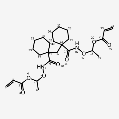 C=CC(=O)OC(C)ONC(=O)C1(CC2(C(=O)NOC(C)OC(=O)C=C)CCCCC2)CCCCC1